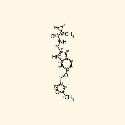 Cc1cc(COc2ccc3cc(CNC(=O)C4(C)CC4)[nH]c3c2)no1